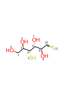 OC[C@@H](O)[C@@H](S)[C@H](O)[C@H](O)C=S